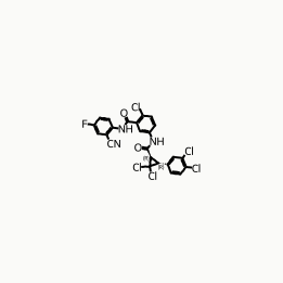 N#Cc1cc(F)ccc1NC(=O)c1cc(NC(=O)[C@H]2[C@H](c3ccc(Cl)c(Cl)c3)C2(Cl)Cl)ccc1Cl